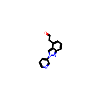 O=CCc1cccc2nn(-c3cccnc3)cc12